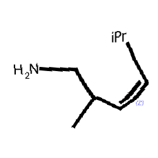 CC(C)/C=C\C(C)CN